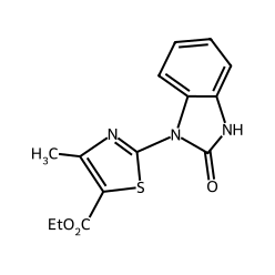 CCOC(=O)c1sc(-n2c(=O)[nH]c3ccccc32)nc1C